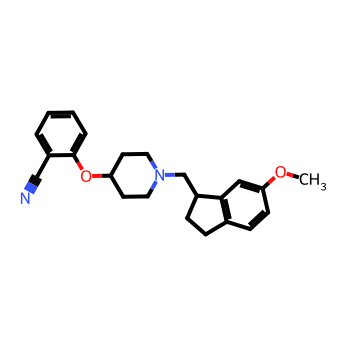 COc1ccc2c(c1)C(CN1CCC(Oc3ccccc3C#N)CC1)CC2